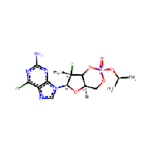 CC(C)O[P@@]1(=O)OC[C@H]2O[C@@H](n3cnc4c(Cl)nc(N)nc43)[C@](C)(F)C2O1